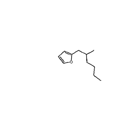 CCCCC(C)Cc1ccco1